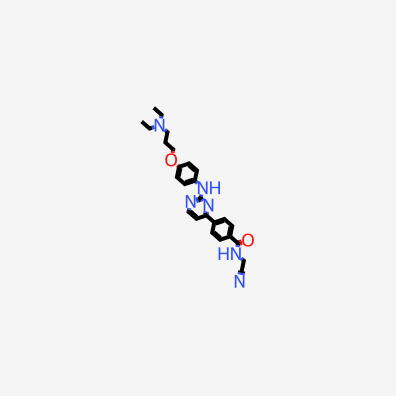 CCN(CC)CCCOc1ccc(Nc2nccc(-c3ccc(C(=O)NCC#N)cc3)n2)cc1